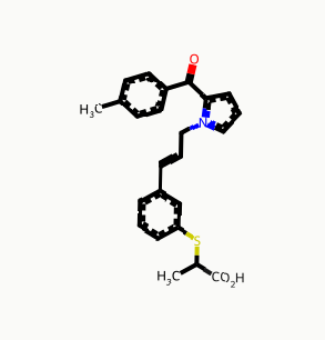 Cc1ccc(C(=O)c2cccn2C/C=C/c2cccc(SC(C)C(=O)O)c2)cc1